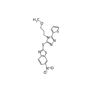 COCCCn1c(Sc2nc3ccc([N+](=O)[O-])cc3s2)nnc1-c1cccs1